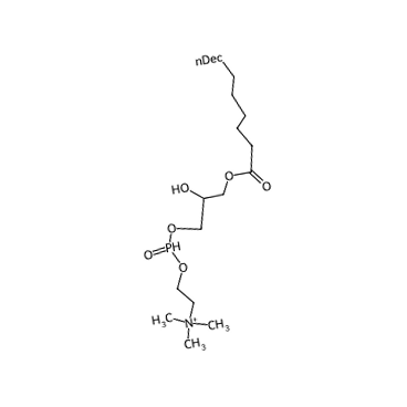 CCCCCCCCCCCCCCCC(=O)OCC(O)CO[PH](=O)OCC[N+](C)(C)C